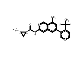 C[C@H]1C[C@@H]1C(=O)Nc1cc2cc(-c3cnccc3C(C)(F)F)cc(N)c2cn1